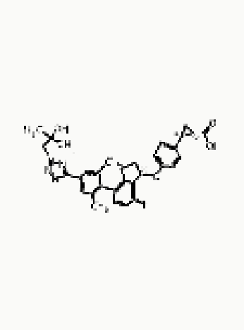 Cc1cc(-c2nnn(CC(C)(C)O)n2)cc(C)c1-c1ccc(F)c2c1CC[C@H]2Oc1ccc([C@H]2C[C@@H]2C(=O)O)cc1